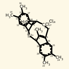 CC1=C2CCC3=C(C)[CH]([Ti+2][CH]1c1cc(C)c(C)cc12)c1cc(C)c(C)cc13.[Cl-].[Cl-]